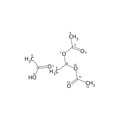 CC(=O)O.CC(=O)OC(C)OC(C)=O